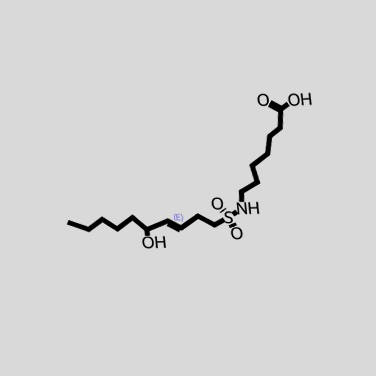 CCCCCC(O)/C=C/CCS(=O)(=O)NCCCCCCC(=O)O